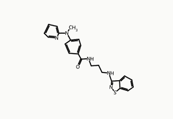 CN(c1ccc(C(=O)NCCCNc2nsc3ccccc23)cc1)c1ccccn1